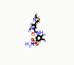 Cc1nc(-c2cc(C(=O)Nc3cc(S(N)(=O)=O)cc(C)c3C)n(C)c2)cs1